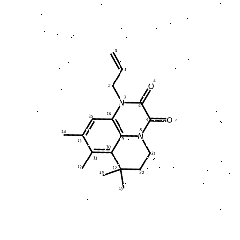 C=CCn1c(=O)c(=O)n2c3c(c(C)c(C)cc31)C(C)(C)CC2